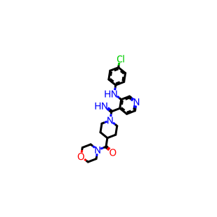 N=C(c1ccncc1Nc1ccc(Cl)cc1)N1CCC(C(=O)N2CCOCC2)CC1